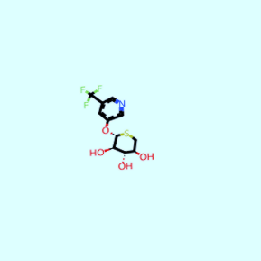 O[C@@H]1[C@@H](O)[C@H](Oc2cncc(C(F)(F)F)c2)SC[C@H]1O